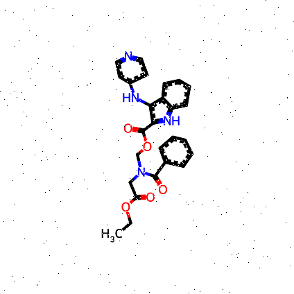 CCOC(=O)CN(COC(=O)c1[nH]c2ccccc2c1Nc1ccncc1)C(=O)c1ccccc1